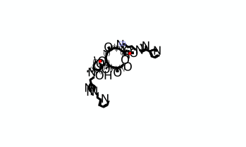 CO[C@]1(C)C[C@@H](C)C(=O)[C@H](C)[C@@H](/N=C\CCCn2cnc(-c3cccnc3)c2)[C@](C)(OC=O)[C@@H](I)OC(=O)[C@H](C)C(=O)[C@H](C)[C@H]1O[C@@H]1O[C@H](C)C[C@H](N(C)CCc2cn(CCc3ccccn3)nn2)[C@H]1O